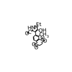 CCN1NC(=C=O)C(c2ccc3c(c2C)S(=O)(=O)CCS3(=O)=O)=C1O